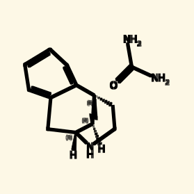 NC(N)=O.c1ccc2c(c1)C[C@H]1NCC[C@@]23CCCC[C@@H]13